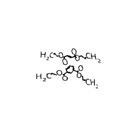 C=CCOC(=O)C=CC(=O)OCC=C.C=CCOC(=O)c1cccc(C(=O)OCC=C)c1